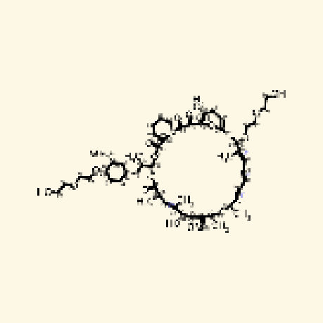 CO[C@@H]1C[C@H](C[C@@H](C)[C@@H]2CC(=O)[C@H](C)/C=C(\C)[C@@H](O)[C@@H](OC)C(=O)[C@H](C)C[C@H](C)/C=C/C=C/C=C(\C)[C@H](OCCOCCO)C[C@@H]3CC[C@@H](C)[C@@](O)(O3)C(=O)C(=O)N3CCCC[C@H]3C(=O)O2)CC[C@H]1OCCOCCO